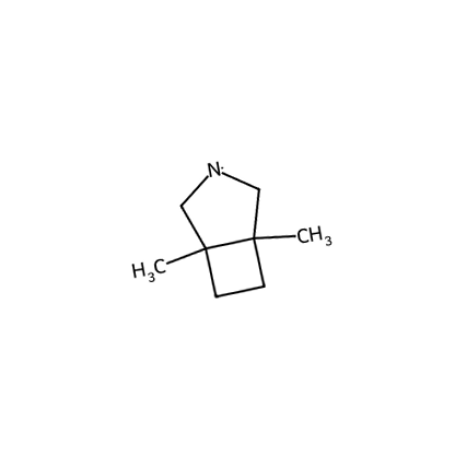 CC12CCC1(C)C[N]C2